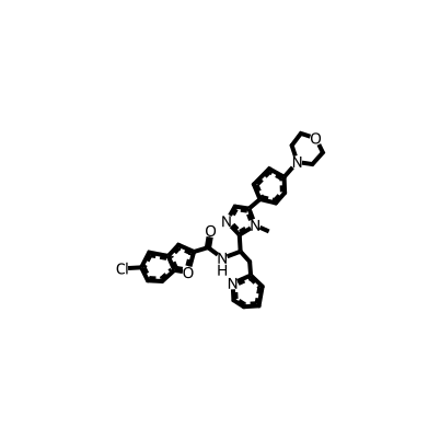 Cn1c(-c2ccc(N3CCOCC3)cc2)cnc1C(Cc1ccccn1)NC(=O)c1cc2cc(Cl)ccc2o1